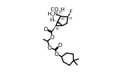 CC(OC(=O)OC1CCC(C)(C)CC1)OC(=O)[C@@H]1C2C[C@H](F)[C@@](N)(C(=O)O)[C@@H]21